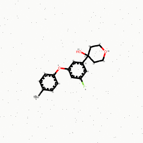 CC(C)(C)c1ccc(Oc2cc(F)cc(C3(O)CCOCC3)c2)cc1